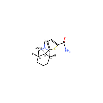 CO[C@@]1(c2ccc(C(N)=O)s2)[C@@H]2CCC[C@H]1CN(C)C2